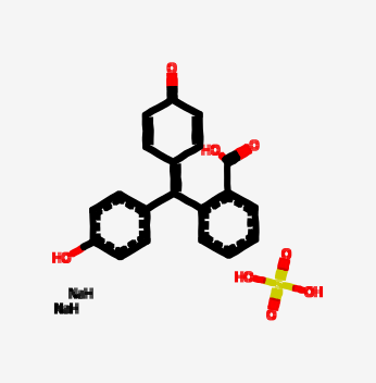 O=C1C=CC(=C(c2ccc(O)cc2)c2ccccc2C(=O)O)C=C1.O=S(=O)(O)O.[NaH].[NaH]